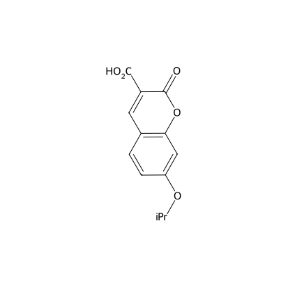 CC(C)Oc1ccc2cc(C(=O)O)c(=O)oc2c1